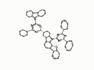 c1ccc(-c2nc(-c3ccc4c(c3)c3ccc5c6ccccc6sc5c3n4-c3nc(-c4ccccc4)nc(-c4ccccc4)n3)nc(-n3c4ccccc4c4ccccc43)n2)cc1